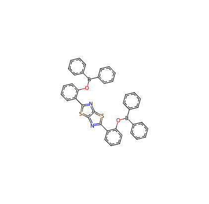 c1ccc(B(Oc2ccccc2-c2nc3sc(-c4ccccc4OB(c4ccccc4)c4ccccc4)nc3s2)c2ccccc2)cc1